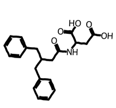 O=C(O)CC(NC(=O)CC(Cc1ccccc1)Cc1ccccc1)C(=O)O